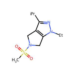 CCn1nc(C(C)C)c2c1CN(S(C)(=O)=O)C2